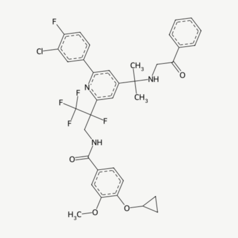 COc1cc(C(=O)NCC(F)(c2cc(C(C)(C)NCC(=O)c3ccccc3)cc(-c3ccc(F)c(Cl)c3)n2)C(F)(F)F)ccc1OC1CC1